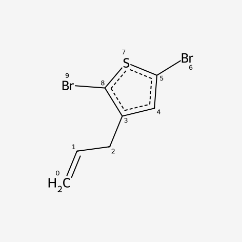 C=CCc1cc(Br)sc1Br